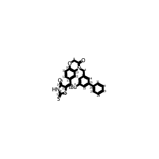 CC(C)(C)c1cc(CN2C(=O)COc3ccc(C=C4SC(=S)NC4=O)cc32)cc(-c2ccccc2)c1